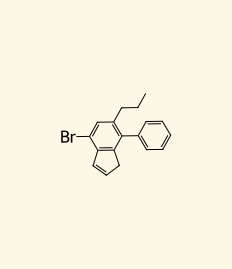 CCCc1cc(Br)c2c(c1-c1ccccc1)CC=C2